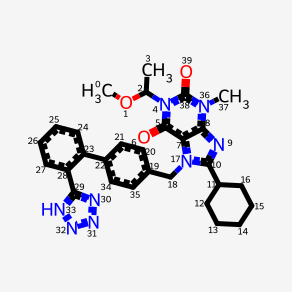 COC(C)n1c(=O)c2c(nc(C3CCCCC3)n2Cc2ccc(-c3ccccc3-c3nnn[nH]3)cc2)n(C)c1=O